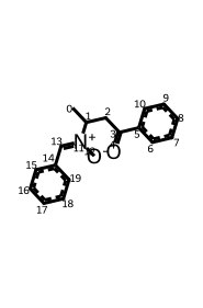 CC(CC(=O)c1ccccc1)[N+]([O-])=Cc1ccccc1